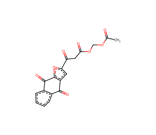 CC(=O)OCOC(=O)CC(=O)c1cc2c(o1)C(=O)c1ccccc1C2=O